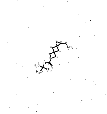 CC(C)(C)OC(=O)N1CC2(C1)CC1(CC1CN)C2